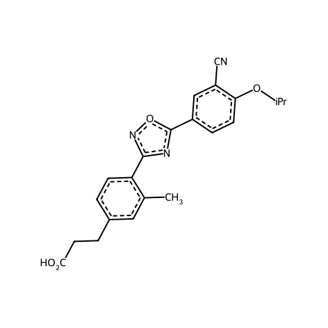 Cc1cc(CCC(=O)O)ccc1-c1noc(-c2ccc(OC(C)C)c(C#N)c2)n1